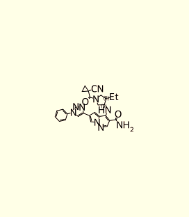 CC[C@@H]1CN(C(=O)C2(C#N)CC2)C[C@H]1Nc1c(C(N)=O)cnn2cc(-c3cn(-c4ccccc4)nn3)cc12